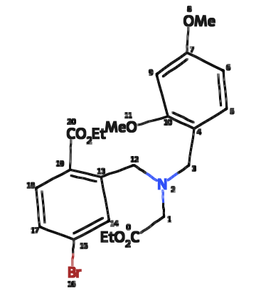 CCOC(=O)CN(Cc1ccc(OC)cc1OC)Cc1cc(Br)ccc1C(=O)OCC